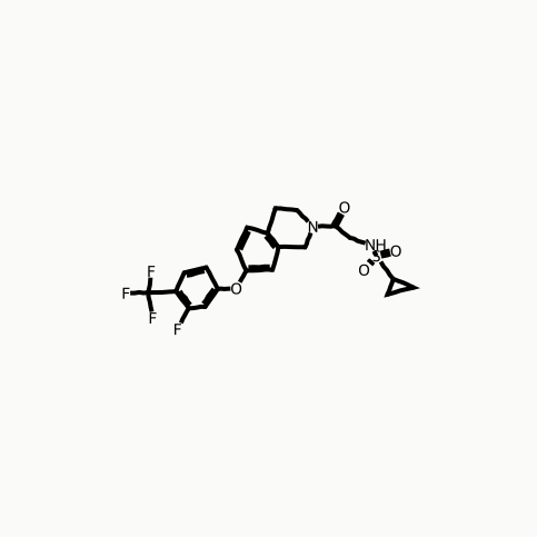 O=C(CNS(=O)(=O)C1CC1)N1CCc2ccc(Oc3ccc(C(F)(F)F)c(F)c3)cc2C1